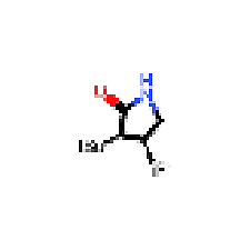 CC(C)[C@@H]1CNC(=O)[C@@H]1C(C)(C)C